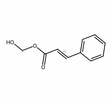 O=C(/C=C/c1ccccc1)O[CH]O